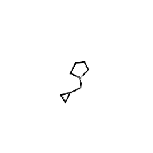 [CH]1CCN(CC2CC2)C1